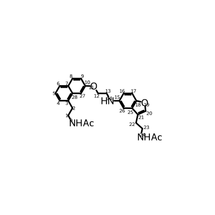 CC(=O)NCCc1cccc2ccc(OCCNc3ccc4occ(CCNC(C)=O)c4c3)cc12